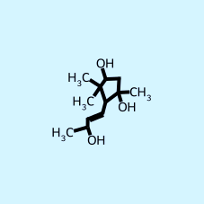 CC(O)C=CC1C(C)(O)CC(O)C1(C)C